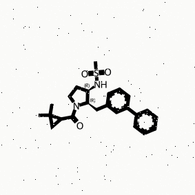 CC1(C)CC1C(=O)N1CC[C@@H](NS(C)(=O)=O)[C@H]1Cc1cccc(-c2ccccc2)c1